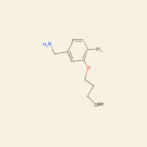 COCCCOc1cc(CN)ccc1C(F)(F)F